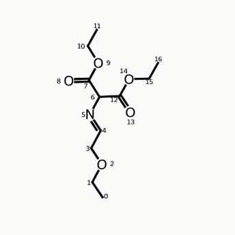 CCOCC=NC(C(=O)OCC)C(=O)OCC